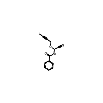 N#CC(NC(=O)c1ccccc1)OCC#CI